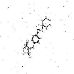 CC1(COc2ccc(CN3C(=O)CSC3=O)cc2)CCCCC1